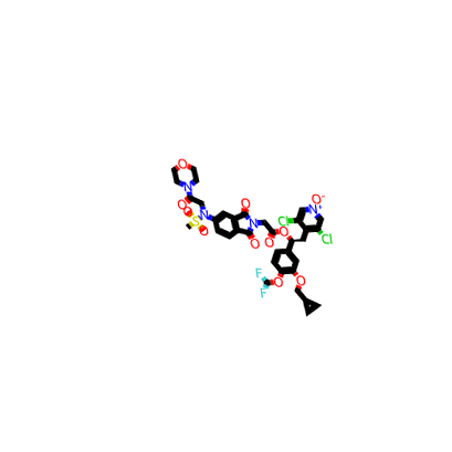 CS(=O)(=O)N(CC(=O)N1CCOCC1)c1ccc2c(c1)C(=O)N(CC(=O)O[C@@H](Cc1c(Cl)c[n+]([O-])cc1Cl)c1ccc(OC(F)F)c(OCC3CC3)c1)C2=O